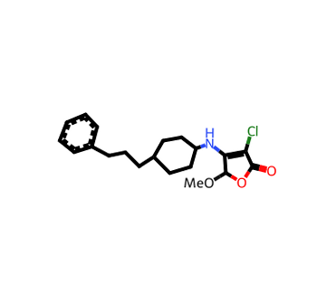 COC1OC(=O)C(Cl)=C1NC1CCC(CCCc2ccccc2)CC1